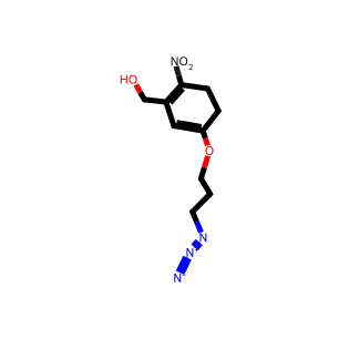 [N-]=[N+]=NCCCOC1=CC(CO)=C([N+](=O)[O-])CC1